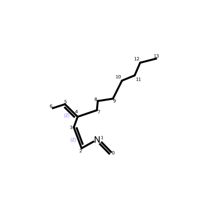 C=N/C=C\C(=C/C)CCCCCCC